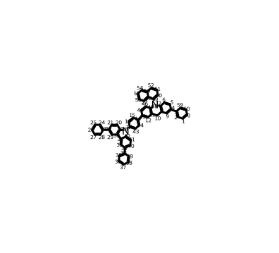 c1ccc(-c2ccc3c(c2)Cc2cc(-c4ccc(-n5c6ccc(-c7ccccc7)cc6c6cc(-c7ccccc7)ccc65)cc4)ccc2N3c2cccc3ccccc23)cc1